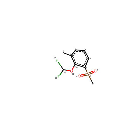 Cc1cccc(S(C)(=O)=O)c1OC(F)F